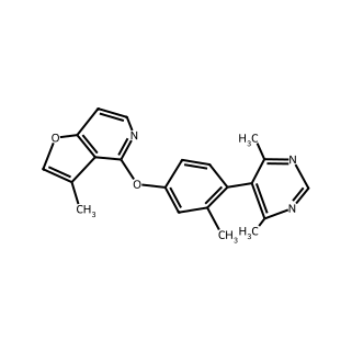 Cc1cc(Oc2nccc3occ(C)c23)ccc1-c1c(C)ncnc1C